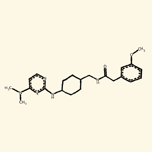 COc1cccc(CC(=O)NCC2CCC(Nc3nccc(N(C)C)n3)CC2)c1